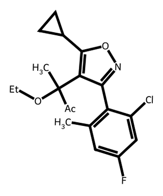 CCOC(C)(C(C)=O)c1c(-c2c(C)cc(F)cc2Cl)noc1C1CC1